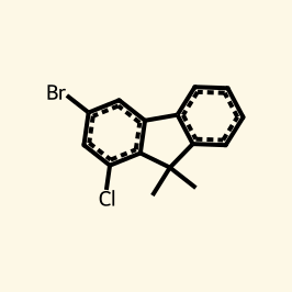 CC1(C)c2ccccc2-c2cc(Br)cc(Cl)c21